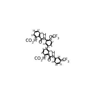 O=C(O)c1ccc(-c2ccc(OC(F)(F)F)c(NC(=O)c3ccccc3C(=O)O)c2)cc1C(=O)Nc1cccc(C(F)(F)F)c1